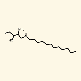 CCCCCCCCCCCCNCC(N)C(O)CC